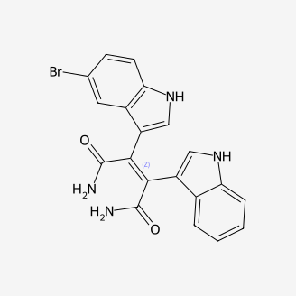 NC(=O)/C(=C(\C(N)=O)c1c[nH]c2ccc(Br)cc12)c1c[nH]c2ccccc12